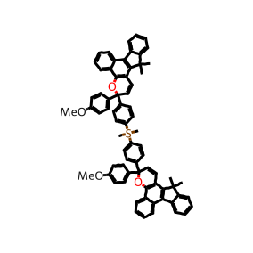 COc1ccc(C2(c3ccc(S(C)(C)c4ccc(C5(c6ccc(OC)cc6)C=Cc6c7c(c8ccccc8c6O5)-c5ccccc5C7(C)C)cc4)cc3)C=Cc3c4c(c5ccccc5c3O2)-c2ccccc2C4(C)C)cc1